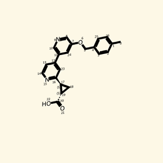 Cc1ccc(COc2cncc(-c3ccnc([C@H]4C[C@@H]4C(=O)O)c3)c2)cc1